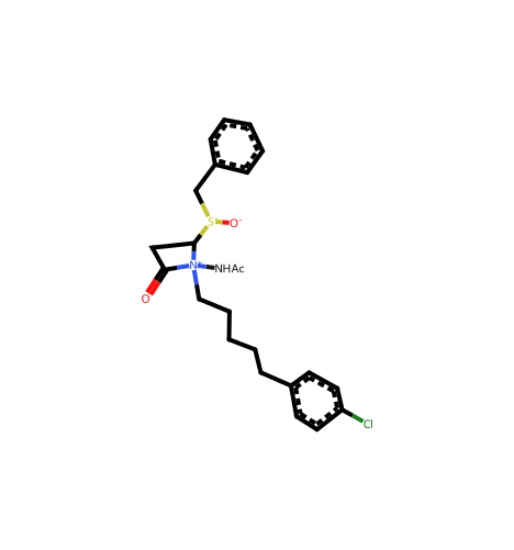 CC(=O)N[N+]1(CCCCCc2ccc(Cl)cc2)C(=O)CC1[S+]([O-])Cc1ccccc1